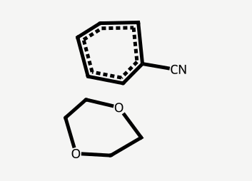 C1COCCO1.N#Cc1ccccc1